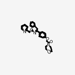 O=C(COc1ccc(C(Cc2ccccc2)=NOCc2ccccn2)cc1)N1CCOCC1